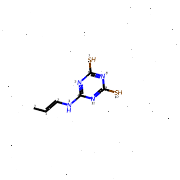 CC=CNc1nc(S)nc(S)n1